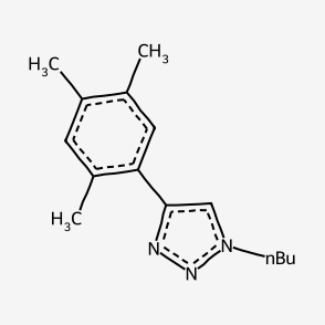 CCCCn1cc(-c2cc(C)c(C)cc2C)nn1